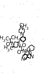 CC(C)C(=O)N1C[C@H](c2cccc(N3CCN(C)CC3)c2)N(C(=O)C(=O)Nc2cncc3cnn(C4CCCCO4)c23)C[C@H]1C